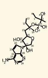 CCC(C)(O)P(=O)(O)O[C@@](C)(CC)CC1OC[C@](O)(n2ccc3c(N)ncnc32)[C@@H]1O